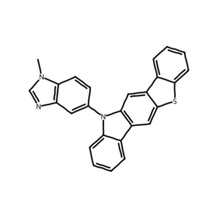 Cn1cnc2cc(-n3c4ccccc4c4cc5sc6ccccc6c5cc43)ccc21